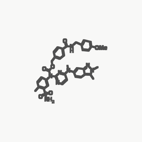 COc1ccc(CNC(=O)c2ccc(COC(=O)N(c3ccc(C)c(S(N)(=O)=O)c3)c3nccc(N(C)c4ccc5c(C)n(C)nc5c4)n3)cc2)cc1